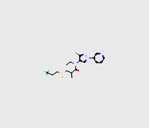 CCN(C(=O)C(C)C[S+]([O-])CCC(F)(F)F)c1cn(-c2ccc[n+]([O-])c2)nc1Cl